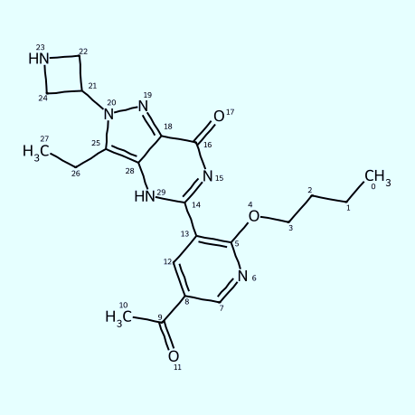 CCCCOc1ncc(C(C)=O)cc1-c1nc(=O)c2nn(C3CNC3)c(CC)c2[nH]1